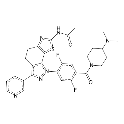 CC(=O)Nc1nc2c(s1)-c1c(c(-c3cccnc3)nn1-c1cc(F)c(C(=O)N3CCC(N(C)C)CC3)cc1F)CC2